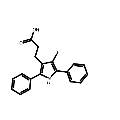 O=C(O)CCc1c(-c2ccccc2)[nH]c(-c2ccccc2)c1I